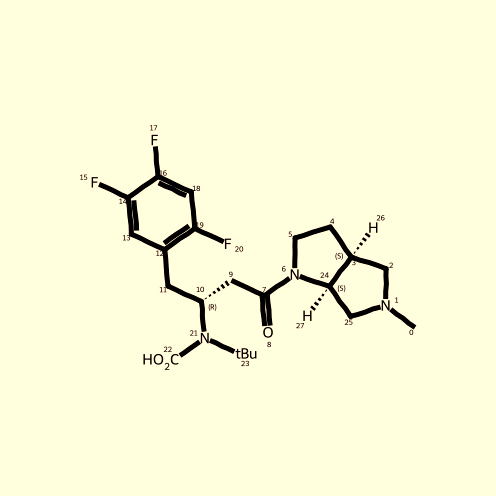 CN1C[C@@H]2CCN(C(=O)C[C@@H](Cc3cc(F)c(F)cc3F)N(C(=O)O)C(C)(C)C)[C@@H]2C1